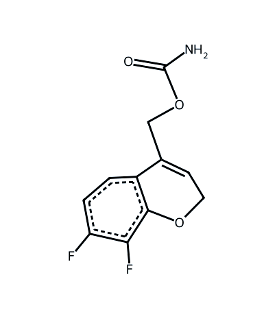 NC(=O)OCC1=CCOc2c1ccc(F)c2F